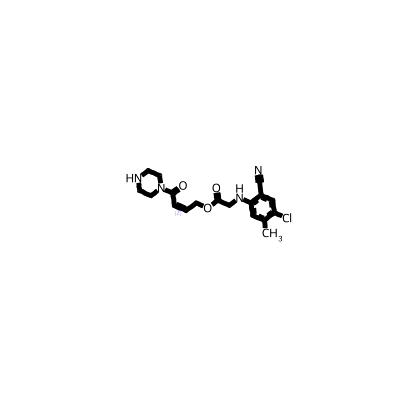 Cc1cc(NCC(=O)OC/C=C\C(=O)N2CCNCC2)c(C#N)cc1Cl